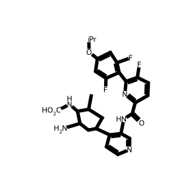 CC(C)Oc1cc(F)c(-c2nc(C(=O)Nc3cnccc3C3CC(C)C(NC(=O)O)C(N)C3)ccc2F)c(F)c1